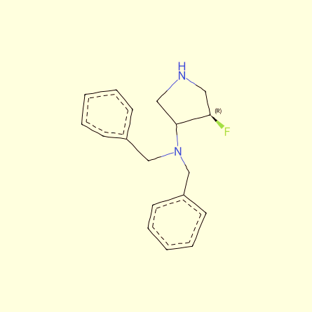 F[C@@H]1CNCC1N(Cc1ccccc1)Cc1ccccc1